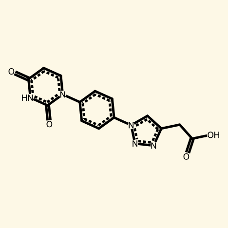 O=C(O)Cc1cn(-c2ccc(-n3ccc(=O)[nH]c3=O)cc2)nn1